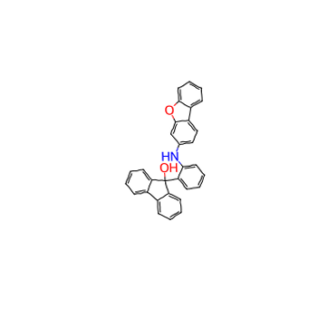 OC1(c2ccccc2Nc2ccc3c(c2)oc2ccccc23)c2ccccc2-c2ccccc21